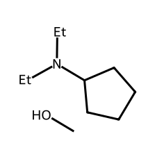 CCN(CC)C1CCCC1.CO